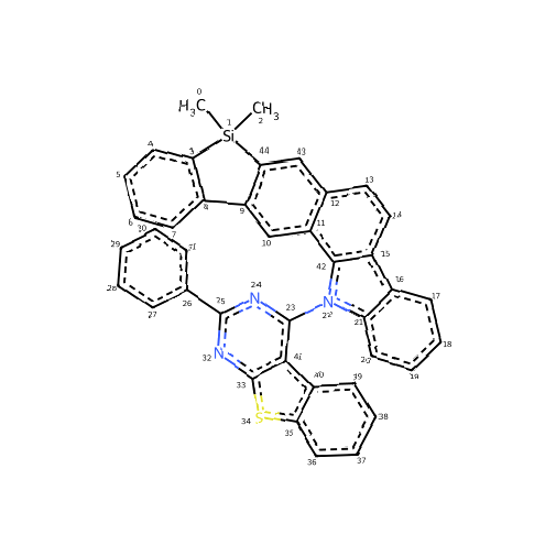 C[Si]1(C)c2ccccc2-c2cc3c(ccc4c5ccccc5n(-c5nc(-c6ccccc6)nc6sc7ccccc7c56)c34)cc21